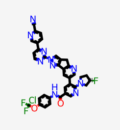 N#Cc1ccc(-c2ccnc(-n3cc4c(n3)-c3cc(-c5cc(C(=O)Nc6ccc(OC(F)(F)Cl)cc6)cnc5N5CC[C@@H](F)C5)cnc3C4)n2)cn1